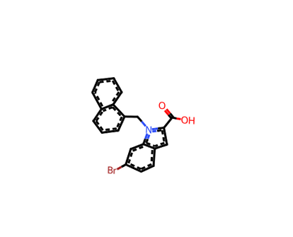 O=C(O)c1cc2ccc(Br)cc2n1Cc1cccc2ccccc12